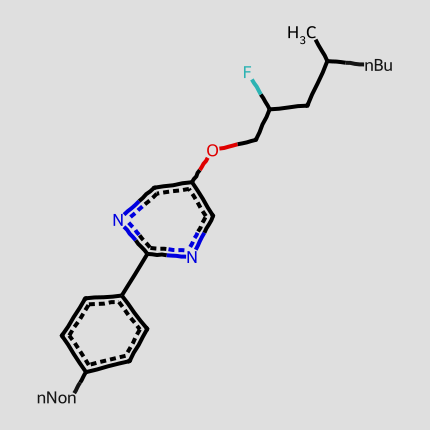 CCCCCCCCCc1ccc(-c2ncc(OCC(F)CC(C)CCCC)cn2)cc1